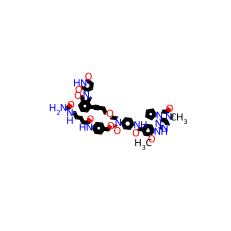 COC1CC(C(=O)N[C@H]2CC[C@@H](N(CCOCCC#Cc3cccc4c3CN(C3CCC(=O)NC3=O)C4=O)C(=O)OCc3ccc(NC(=O)CCCCNC(N)=O)cc3)CC2)=CC=C1Nc1ncc2c(n1)N(C1CCCC1)CC(=O)N2C